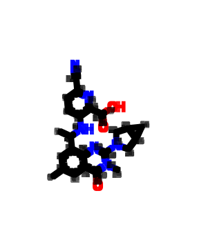 Cc1cc(C(C)Nc2ccc(C#N)nc2C(=O)O)c2nc(N3CC4CC4C3)n(C)c(=O)c2c1